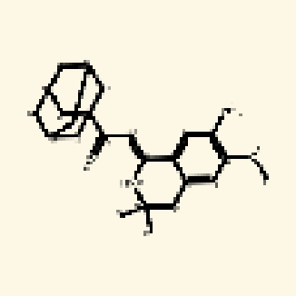 COc1cc2c(cc1N)C(=CC(=O)C13CC4CC(CC(C4)C1)C3)NC(C)(C)C2